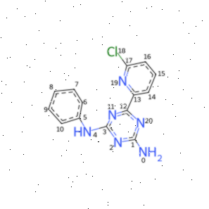 Nc1nc(Nc2ccccc2)nc(-c2cccc(Cl)n2)n1